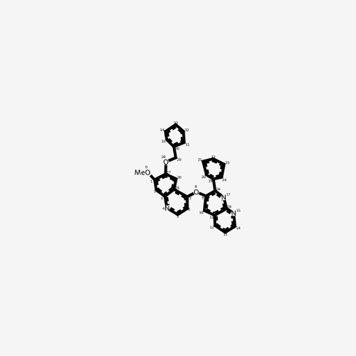 COc1cc2nccc(Oc3cc4cccnc4nc3-c3ccccc3)c2cc1OCc1ccccc1